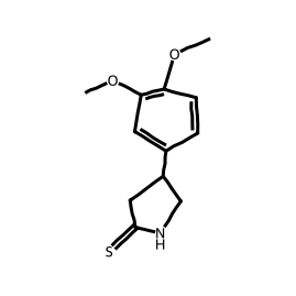 COc1ccc(C2CNC(=S)C2)cc1OC